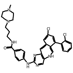 CN1CCN(CCCNC(=O)c2ccc(Nc3ncc4c(n3)C=c3cc(Cl)cc(-c5ccccc5Cl)c3=CN4)cc2)CC1